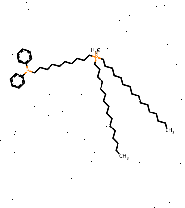 CCCCCCCCCCCCCCCC[PH](C)(CCCCCCCCCCCCCCCC)CCCCCCCCCCP(c1ccccc1)c1ccccc1